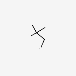 CCC(C)(CC)CN=O